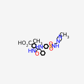 Cc1cc2c(cc1C(=O)O)NC(=O)/C2=C(/Nc1ccc(S(=O)(=O)NCCN2CCN(C)CC2)cc1)c1ccccc1